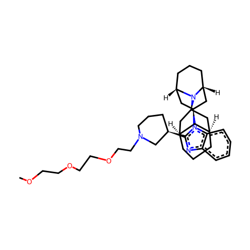 COCCOCCOCCN1CCC[C@@H](c2nc3ccccc3n2[C@@H]2C[C@H]3CCC[C@@H](C2)N3[C@@H]2C[C@@H]3CCC[C@@H](C3)C2)C1